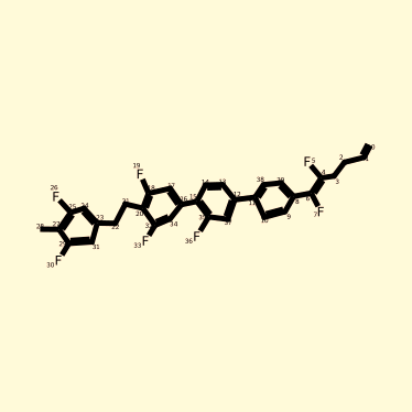 C=CCC/C(F)=C(\F)c1ccc(-c2ccc(-c3cc(F)c(CCc4cc(F)c(C)c(F)c4)c(F)c3)c(F)c2)cc1